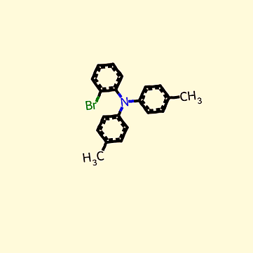 Cc1ccc(N(c2ccc(C)cc2)c2ccccc2Br)cc1